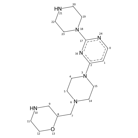 c1cc(N2CCN(CC3CNCCO3)CC2)nc(N2CCNCC2)n1